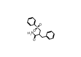 NC(=O)C(Cc1ccccc1)CS(=O)(=O)c1ccccc1